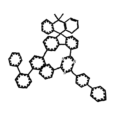 CC1(C)C2=C(CCC=C2)C2(c3ccc(-c4ccc(-c5ccccc5-c5ccccc5)cc4)cc3-c3c(-c4nc(-c5ccccc5)nc(-c5ccc(-c6ccccc6)cc5)n4)cccc32)c2ccccc21